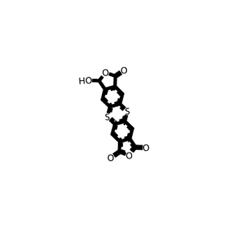 O=C1OC(O)c2cc3sc4cc5c(=O)oc(=O)c5cc4sc3cc21